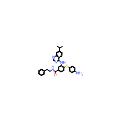 CC(C)c1ccc2c(Nc3cc(C(=O)NCCc4ccccc4)ccc3Sc3ccc(N)cc3)ncnc2c1